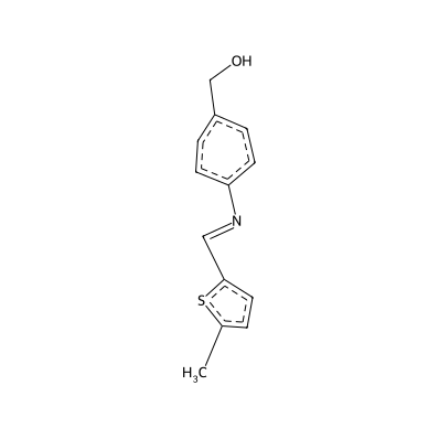 Cc1ccc(/C=N/c2ccc(CO)cc2)s1